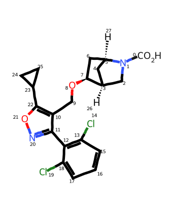 O=C(O)N1C[C@@H]2C[C@H]1C[C@@H]2OCc1c(-c2c(Cl)cccc2Cl)noc1C1CC1